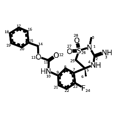 CN1C(=N)N[C@](C)(c2cc(NC(=O)OCc3ccccc3)ccc2F)CS1(=O)=O